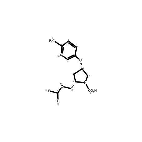 O=C(O)N1C[C@@H](Oc2ccc(C(F)(F)F)nc2)C[C@H]1COC(F)F